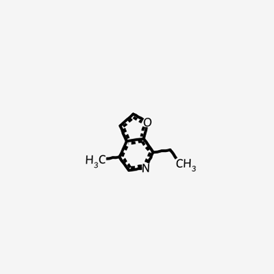 CCc1ncc(C)c2ccoc12